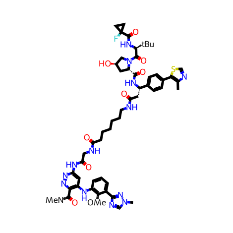 CNC(=O)c1nnc(NC(=O)CNC(=O)CCCCCCNC(=O)C[C@H](NC(=O)[C@@H]2C[C@@H](O)CN2C(=O)[C@@H](NC(=O)C2(F)CC2)C(C)(C)C)c2ccc(-c3scnc3C)cc2)cc1Nc1cccc(-c2ncn(C)n2)c1OC